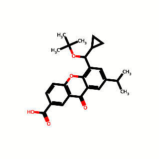 CC(C)c1cc(C(OC(C)(C)C)C2CC2)c2oc3ccc(C(=O)O)cc3c(=O)c2c1